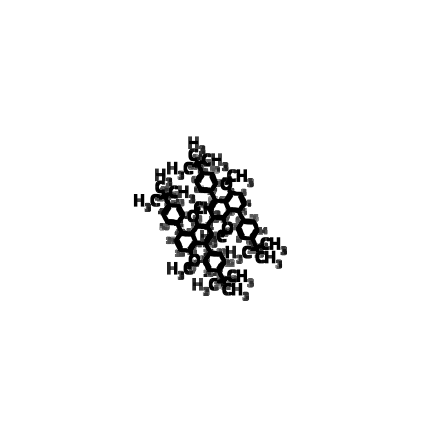 COc1ccc(-c2ccc(C(C)(C)C)cc2)c2c(OC)c(-c3cc(-c4ccc(C(C)(C)C)cc4)c4c(OC)ccc(-c5ccc(C(C)(C)C)cc5)c4c3OC)cc(-c3ccc(C(C)(C)C)cc3)c12